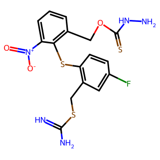 N=C(N)SCc1cc(F)ccc1Sc1c(COC(=S)NN)cccc1[N+](=O)[O-]